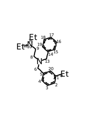 CCc1cccc(CN(CCN(CC)CC)Cc2ccccc2)c1